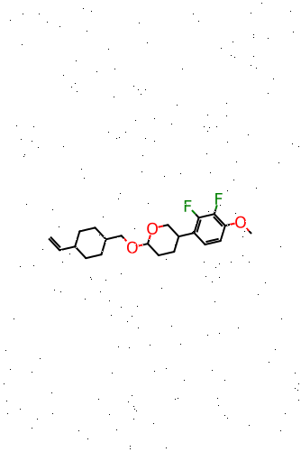 C=CC1CCC(COC2CCC(c3ccc(OC)c(F)c3F)CO2)CC1